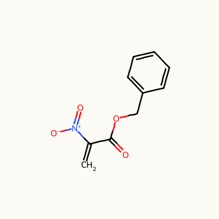 C=C(C(=O)OCc1ccccc1)[N+](=O)[O-]